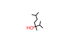 CC(C)CCC(C)(O)C(C)C